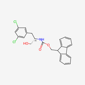 O=C(N[C@H](CO)Cc1cc(Cl)cc(Cl)c1)OCC1c2ccccc2-c2ccccc21